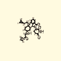 O=C1CCC(N2Cc3c(cccc3N(CCC3CC3)C3CCC(NCC(=O)N4CCC4)CC3)C2=O)C(=O)N1